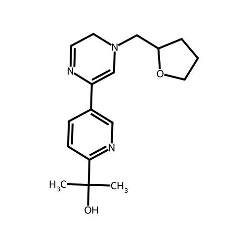 CC(C)(O)c1ccc(C2=CN(CC3CCCO3)CC=N2)cn1